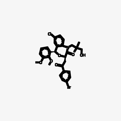 COc1cccc([C@H]2O[C@H](CC(=O)c3ccc(Br)cc3)C(=O)N(CC(C)(C)CO)c3ccc(Cl)cc32)c1OC